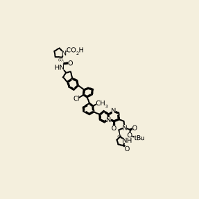 Cc1c(-c2ccn3c(=O)c(CN(C[C@@H]4CCC(=O)N4)C(=O)OC(C)(C)C)cnc3c2)cccc1-c1cccc(-c2ccc3c(c2)CC(NC(=O)[C@@H]2CCCN2C(=O)O)C3)c1Cl